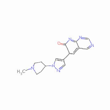 CN1CCC(n2cc(C3C=c4cncnc4=NC3=O)cn2)CC1